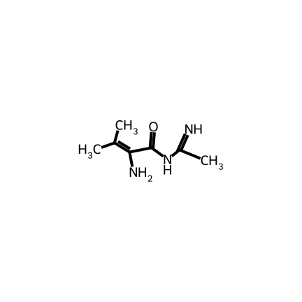 CC(=N)NC(=O)C(N)=C(C)C